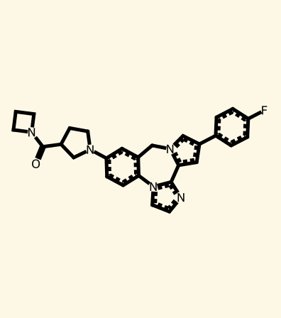 O=C(C1CCN(c2ccc3c(c2)Cn2cc(-c4ccc(F)cc4)cc2-c2nccn2-3)C1)N1CCC1